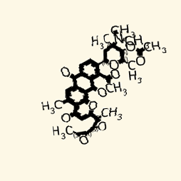 CC(=O)O[C@@H]1[C@H](C)O[C@@H](c2ccc3c(c2C(C)=O)C(=O)c2c(cc(C)c4c(=O)cc([C@]5(C)O[C@H]5[C@@H]5O[C@H]5C)oc24)C3=O)C[C@@]1(C)N(C)C